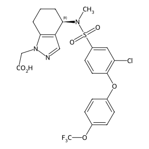 CN([C@@H]1CCCc2c1cnn2CC(=O)O)S(=O)(=O)c1ccc(Oc2ccc(OC(F)(F)F)cc2)c(Cl)c1